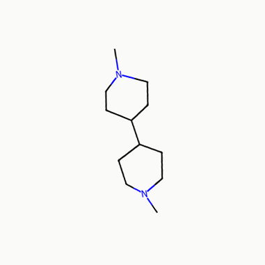 CN1CCC(C2CCN(C)CC2)CC1